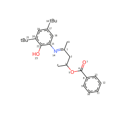 CC(CC(C)OC(=O)c1ccccc1)=Nc1cc(C(C)(C)C)cc(C(C)(C)C)c1O